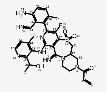 C=CC(=O)N1CCN2C(=N)c3c(Nc4c(C)ccnc4C(C)O)nc(-c4c(C)ccc(N)c4C=N)c(F)c3S(=O)(=O)CC2C1